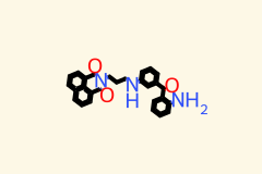 Nc1ccccc1C(=O)c1cccc(NCCCN2C(=O)c3cccc4cccc(c34)C2=O)c1